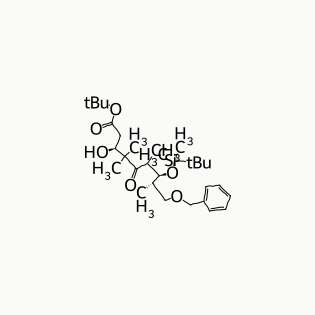 CC(C(=O)C(C)(C)[C@@H](O)CC(=O)OC(C)(C)C)[C@@H](O[Si](C)(C)C(C)(C)C)[C@@H](C)COCc1ccccc1